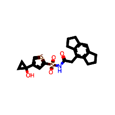 O=C(Cc1c2c(cc3c1CCC3)CCC2)NS(=O)(=O)c1cc(C2(O)CC2)cs1